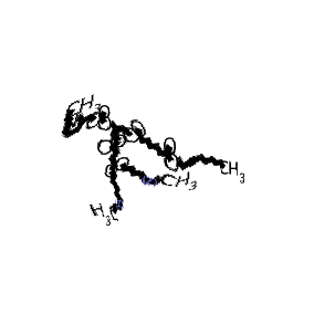 CC/C=C\CCCCOC(CCC(=O)OCC(COC(=O)CCCCCC(=O)OCCC#CCCCCCC)COC(=O)OCC1CCCN(CC)C1)OCCCC/C=C\CC